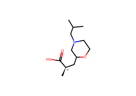 CC(C)CN1CCOC(C[C@@H](C)C(=O)O)C1